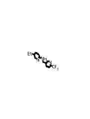 CCc1ccc(NCc2ccc(C(F)(F)F)nc2)nc1